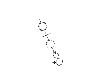 Cc1ccc(C(C)(C)c2ccc(N3CC4(CCCN4C)C3)cc2)cc1